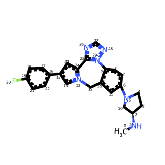 CN[C@@H]1CCN(c2ccc3c(c2)Cn2cc(-c4ccc(F)cc4)cc2-c2ncnn2-3)C1